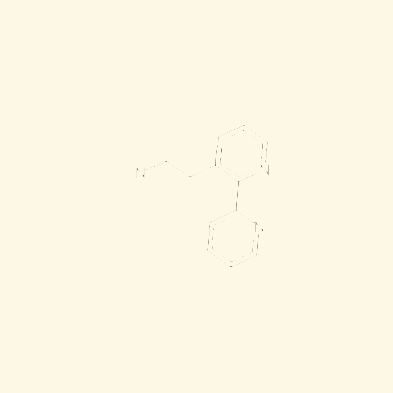 O=NCCc1cccnc1-c1ccccn1